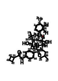 [2H]c1ccc(C([2H])([2H])[C@]([2H])([14N](C(=O)O)C(C)(C)C)[C@]([2H])(O)C([2H])([2H])N(CC(C)C)S(=O)(=O)c2ccc(NC(=O)C3CCC3)cc2)c([2H])c1[2H]